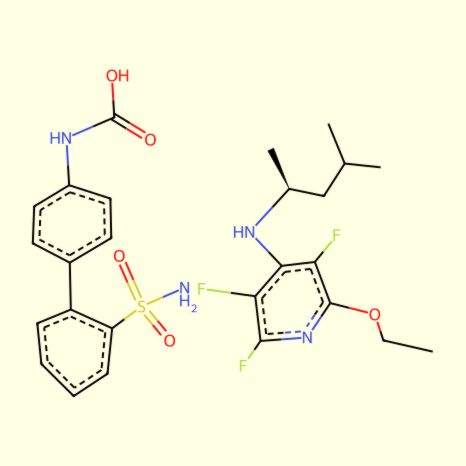 CCOc1nc(F)c(F)c(N[C@@H](C)CC(C)C)c1F.NS(=O)(=O)c1ccccc1-c1ccc(NC(=O)O)cc1